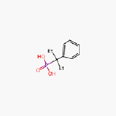 CCC(CC)(c1ccccc1)P(=O)(O)O